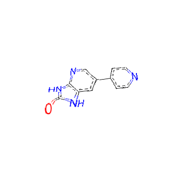 O=c1[nH]c2cc(-c3ccncc3)cnc2[nH]1